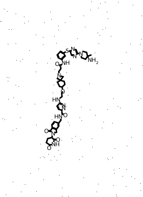 CC1(N)CCN(c2cnc(Sc3cccc(NC(=O)CCN4CC5(CCC(OCCNc6ccc(C(=O)NCc7ccc8c(c7)CN(C7CCC(=O)NC7=O)C8=O)nn6)CC5)C4)c3)cn2)CC1